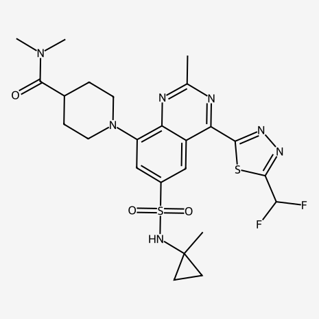 Cc1nc(-c2nnc(C(F)F)s2)c2cc(S(=O)(=O)NC3(C)CC3)cc(N3CCC(C(=O)N(C)C)CC3)c2n1